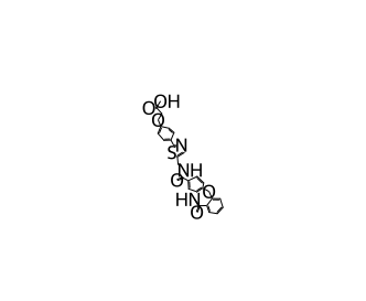 O=C(O)COc1ccc(-c2ncc(CNC(=O)c3ccc4c(c3)NC(=O)c3ccccc3O4)s2)cc1